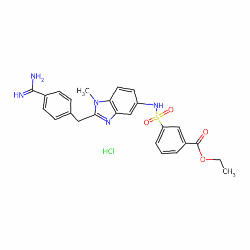 CCOC(=O)c1cccc(S(=O)(=O)Nc2ccc3c(c2)nc(Cc2ccc(C(=N)N)cc2)n3C)c1.Cl